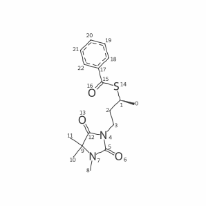 C[C@@H](CCN1C(=O)N(C)C(C)(C)C1=O)SC(=O)c1ccccc1